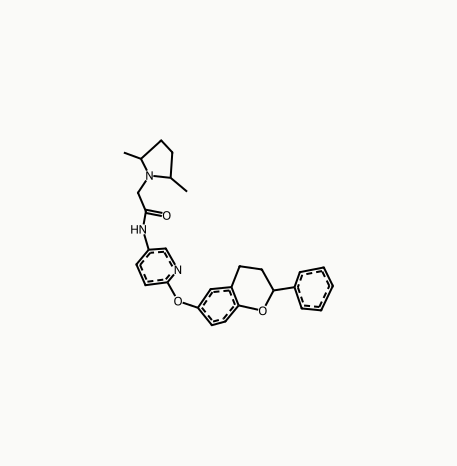 CC1CCC(C)N1CC(=O)Nc1ccc(Oc2ccc3c(c2)CCC(c2ccccc2)O3)nc1